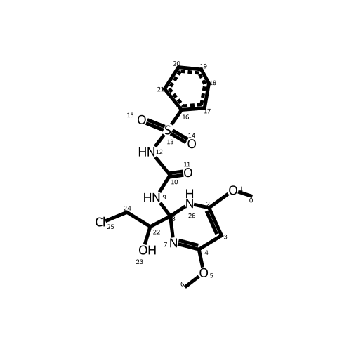 COC1=CC(OC)=NC(NC(=O)NS(=O)(=O)c2ccccc2)(C(O)CCl)N1